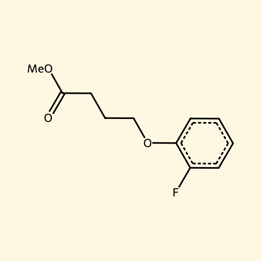 COC(=O)CCCOc1ccccc1F